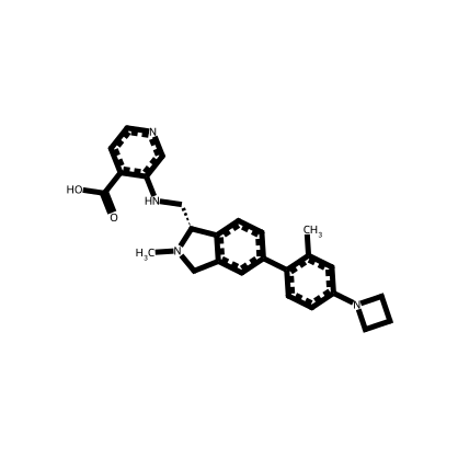 Cc1cc(N2CCC2)ccc1-c1ccc2c(c1)CN(C)[C@@H]2CNc1cnccc1C(=O)O